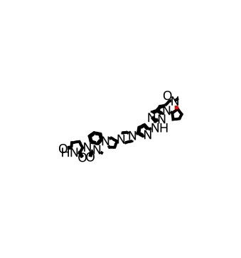 CN(C)C(=O)c1cc2cnc(Nc3ccc(N4CCN([C@@H]5CCN(c6cccc7c6n(C)c(=O)n7[C@H]6CCC(=O)NC6=O)C5)CC4)cn3)nc2n1C1CCCC1